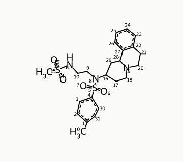 Cc1ccc(S(=O)(=O)N(CCNS(C)(=O)=O)C2CCN3CCc4ccccc4C3C2)cc1